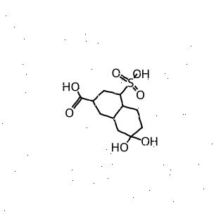 O=C(O)C1CC2CC(O)(O)CCC2C(S(=O)(=O)O)C1